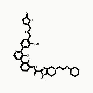 COc1cc(-c2nccc(-c3cccc(NC(=O)c4nc5c(n4C)CCN(CCOC4CCCCC4)C5)c3Cl)c2Cl)ccc1CNCC1CCC(=O)N1